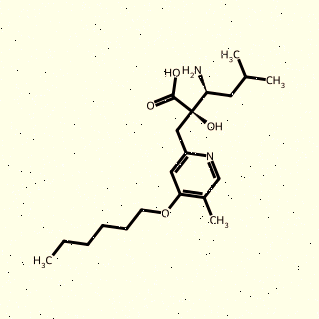 CCCCCCOc1cc(C[C@](O)(C(=O)O)[C@@H](N)CC(C)C)ncc1C